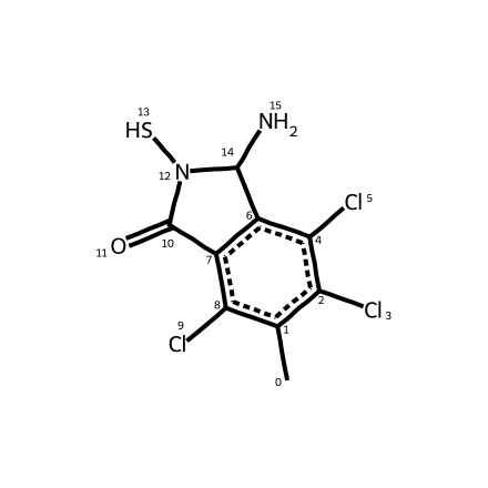 Cc1c(Cl)c(Cl)c2c(c1Cl)C(=O)N(S)C2N